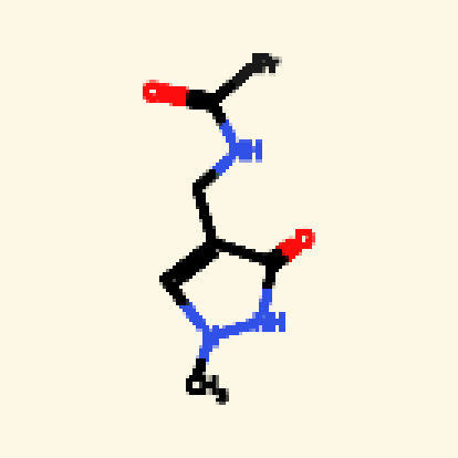 CC(C)C(=O)NCc1cn(C)[nH]c1=O